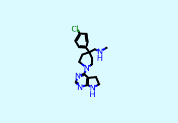 CNCC1(c2ccc(Cl)cc2)CCN(c2ncnc3c2CCN3)CC1